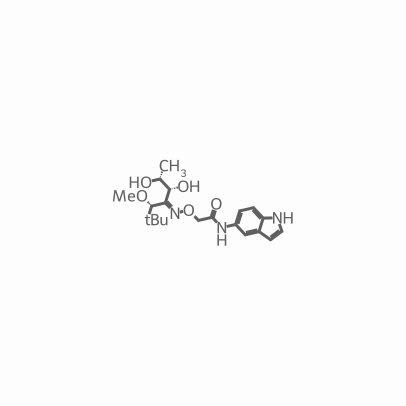 CO[C@H](/C(=N/OCC(=O)Nc1ccc2[nH]ccc2c1)[C@@H](O)[C@@H](C)O)C(C)(C)C